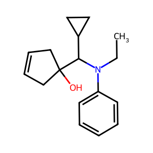 CCN(c1ccccc1)C(C1CC1)C1(O)CC=CC1